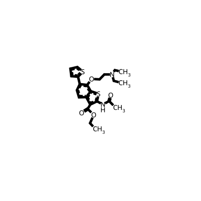 CCOC(=O)c1c(NC(C)=O)sc2c(OCCN(CC)CC)c(-c3cccs3)ccc12